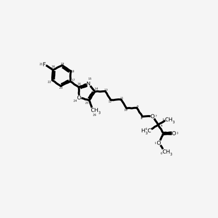 COC(=O)C(C)(C)OCCCCCCc1nc(-c2ccc(F)cc2)oc1C